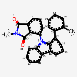 CN1C(=O)c2cccc(-n3c4ccccc4c4cccc(-c5ccccc5C#N)c43)c2C1=O